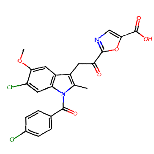 COc1cc2c(CC(=O)c3ncc(C(=O)O)o3)c(C)n(C(=O)c3ccc(Cl)cc3)c2cc1Cl